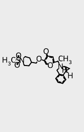 C[C@H](c1cc(=O)c(OCC2CCN(S(C)(=O)=O)CC2)co1)N1Cc2ccccc2[C@H]2C[C@H]21